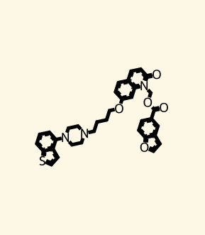 O=C(OCn1c(=O)ccc2ccc(OCCCCN3CCN(c4cccc5sccc45)CC3)cc21)c1ccc2occc2c1